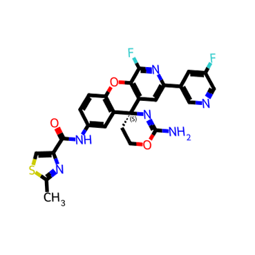 Cc1nc(C(=O)Nc2ccc3c(c2)[C@@]2(CCOC(N)=N2)c2cc(-c4cncc(F)c4)nc(F)c2O3)cs1